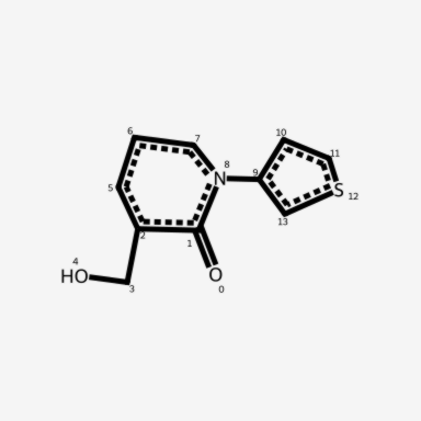 O=c1c(CO)cccn1-c1ccsc1